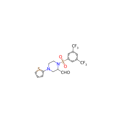 O=CC1CN(c2cccs2)CCN1S(=O)(=O)c1cc(C(F)(F)F)cc(C(F)(F)F)c1